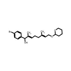 C/C(=C\COC1CCCCO1)CC/C=C(\C)C(O)c1ccc(Br)cc1